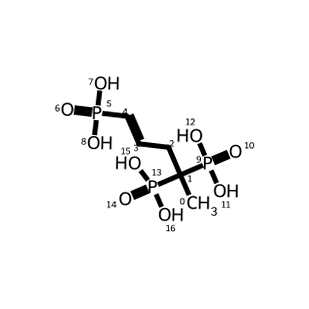 CC(CC=CP(=O)(O)O)(P(=O)(O)O)P(=O)(O)O